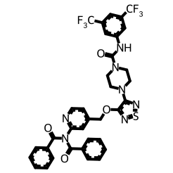 O=C(Nc1cc(C(F)(F)F)cc(C(F)(F)F)c1)N1CCN(c2nsnc2OCc2ccnc(N(C(=O)c3ccccc3)C(=O)c3ccccc3)c2)CC1